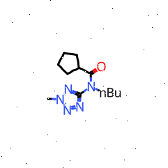 CCCCN(C(=O)C1CCCC1)c1nnn(C)n1